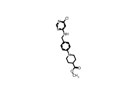 COC(=O)C1CCN(c2ccc(CNc3cc(Cl)ncn3)cc2)CC1